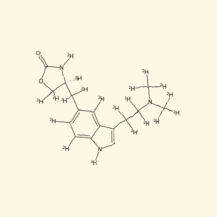 [2H]c1c(C([2H])([2H])[C@]2([2H])N([2H])C(=O)OC2([2H])[2H])c([2H])c2c(C([2H])([2H])C([2H])([2H])N(C([2H])([2H])[2H])C([2H])([2H])[2H])cn([2H])c2c1[2H]